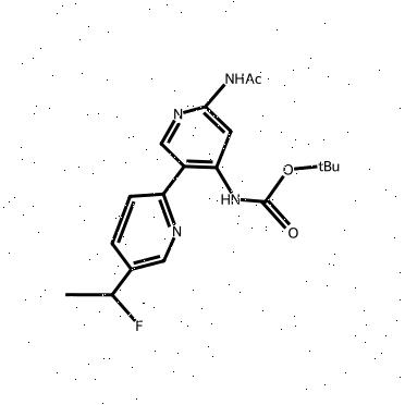 CC(=O)Nc1cc(NC(=O)OC(C)(C)C)c(-c2ccc(C(C)F)cn2)cn1